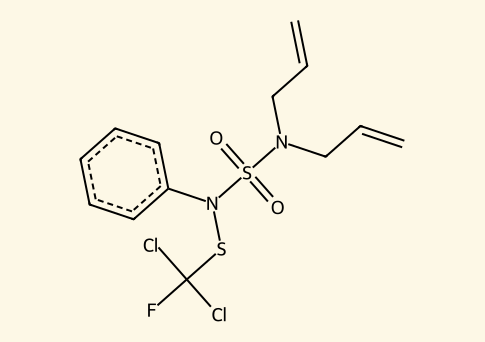 C=CCN(CC=C)S(=O)(=O)N(SC(F)(Cl)Cl)c1ccccc1